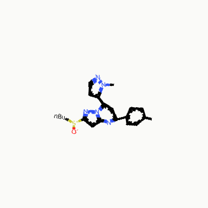 CCCC[S+]([O-])c1cc2nc(-c3ccc(C)cc3)cc(-c3ccnn3C)n2n1